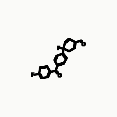 O=CC1=CCC(F)(c2ccc(C(=O)c3ccc(F)cc3)cc2)C=C1